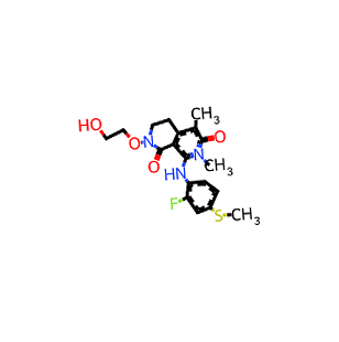 CSc1ccc(Nc2c3c(c(C)c(=O)n2C)CCN(OCCO)C3=O)c(F)c1